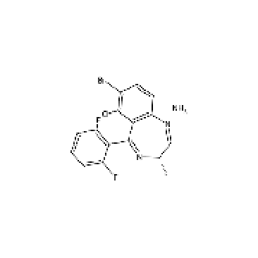 C[C@H]1C=Nc2ccc(Br)c(Cl)c2C(c2c(F)cccc2F)=N1.N